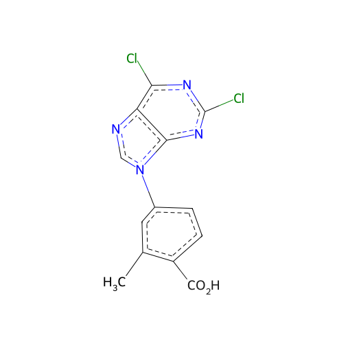 Cc1cc(-n2cnc3c(Cl)nc(Cl)nc32)ccc1C(=O)O